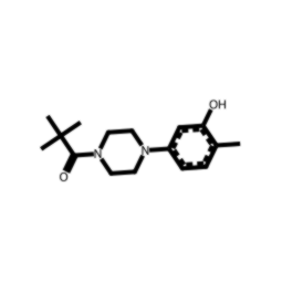 Cc1ccc(N2CCN(C(=O)C(C)(C)C)CC2)cc1O